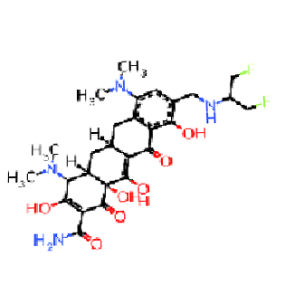 CN(C)c1cc(CNC(CF)CF)c(O)c2c1C[C@H]1C[C@H]3[C@H](N(C)C)C(O)=C(C(N)=O)C(=O)[C@@]3(O)C(O)=C1C2=O